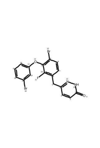 O=c1ccc(Cc2ccc(Br)c(Oc3cccc(Br)c3)c2F)n[nH]1